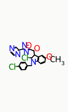 COc1ccc2c(c1)C(C(=O)c1nc(-c3cnccn3)no1)C(Cl)N2Cc1ccc(Cl)cc1